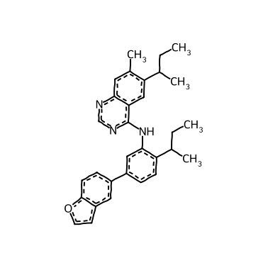 CCC(C)c1cc2c(Nc3cc(-c4ccc5occc5c4)ccc3C(C)CC)ncnc2cc1C